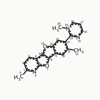 Cc1ccc2c(n1)oc1c3cc(C)c(-c4nccc[n+]4C)cc3oc21